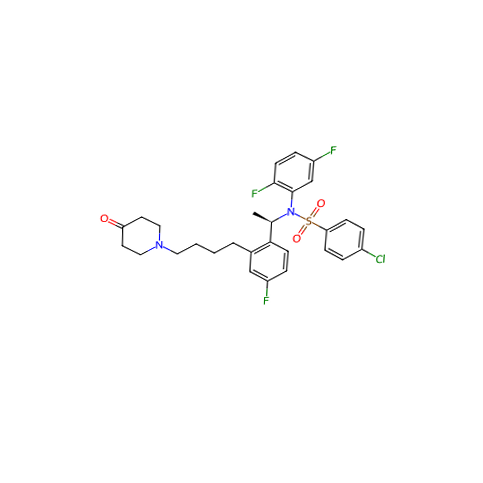 C[C@H](c1ccc(F)cc1CCCCN1CCC(=O)CC1)N(c1cc(F)ccc1F)S(=O)(=O)c1ccc(Cl)cc1